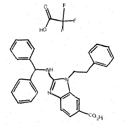 O=C(O)C(F)(F)F.O=C(O)c1ccc2nc(NC(c3ccccc3)c3ccccc3)n(CCc3ccccc3)c2c1